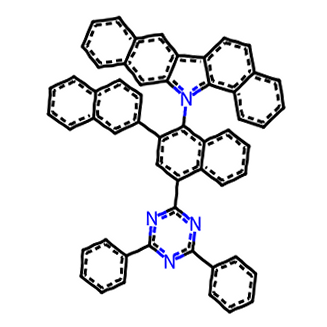 c1ccc(-c2nc(-c3ccccc3)nc(-c3cc(-c4ccc5ccccc5c4)c(-n4c5cc6ccccc6cc5c5ccc6ccccc6c54)c4ccccc34)n2)cc1